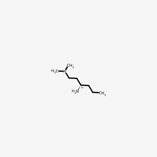 CCC[C@H](N)CCN(C)C